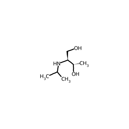 CC(C)N[C@@H](CO)[C@H](C)O